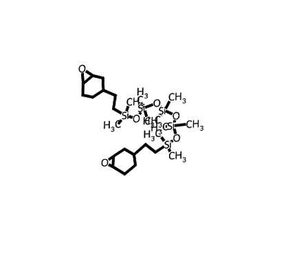 C[Si](C)(CCC1CCC2OC2C1)O[Si](C)(C)O[Si](C)(C)O[Si](C)(C)O[Si](C)(C)CCC1CCC2OC2C1